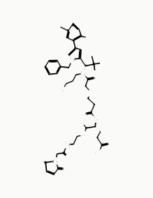 CC(C)(C)[C@H](c1cc(-c2cc(F)ccc2F)cn1Cc1ccccc1)N(CCCN)C(=O)CSCCC(=O)N[C@@H](CCC(=O)O)C(O)NCCNC(=O)CN1C(=O)C=CC1=O